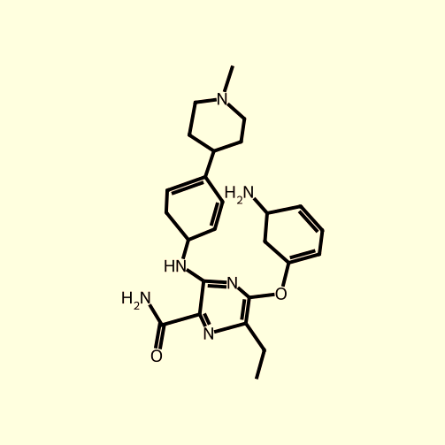 CCc1nc(C(N)=O)c(NC2C=CC(C3CCN(C)CC3)=CC2)nc1OC1=CC=CC(N)C1